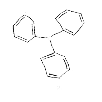 [Rh+].c1ccc(P(c2ccccc2)c2ccccc2)cc1